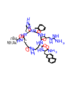 CCCC[C@H](NC(C)=O)C(=O)N[C@H]1CCC(=O)NCC[C@@H](C(=O)N[C@H](Cc2ccc3ccccc3c2)C(N)=O)NC(=O)[C@H](CCCNC(=N)N)NC(=O)[C@@H](Cc2ccccc2)NC(=O)[C@H](Cc2c[nH]cn2)NC1=O